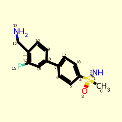 CS(=N)(=O)c1ccc(-c2ccc(CN)c(F)c2)cc1